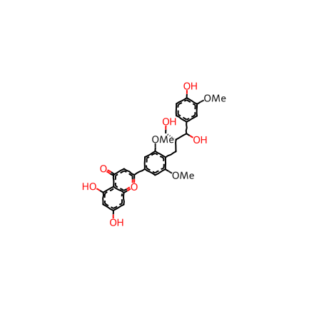 COc1cc(C(O)[C@@H](CO)Cc2c(OC)cc(-c3cc(=O)c4c(O)cc(O)cc4o3)cc2OC)ccc1O